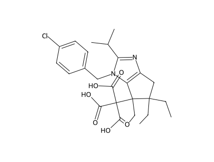 CCC1(CC)Cc2nc(C(C)C)n(Cc3ccc(Cl)cc3)c2C1(CC)C(C(=O)O)(C(=O)O)C(=O)O